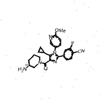 COc1ccc(-n2c(-c3ccc(C#N)c(F)c3)nc(C(=O)N3CCC[C@H](N)C3)c2C2CC2)cn1